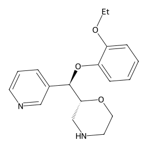 CCOc1ccccc1O[C@H](c1cccnc1)[C@H]1CNCCO1